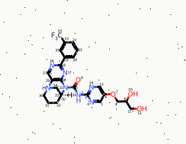 O=C(Nc1ncc(OCC(O)CO)cn1)N1c2nc(-c3cccc(C(F)(F)F)c3)ncc2N2CCC[C@H]1C2